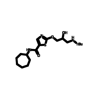 CCCCNCC(O)COc1ncc(C(=O)NC2CCCCCC2)s1